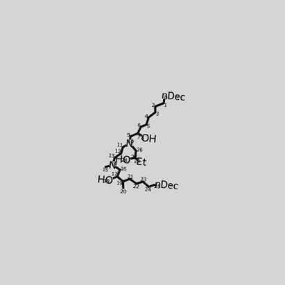 CCCCCCCCCCCCCCCCC(O)CN(CCCN(C)CC(O)C(C)CCCCCCCCCCCCCC)CC(O)CC